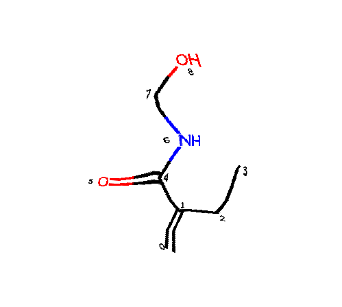 C=C(CC)C(=O)NCO